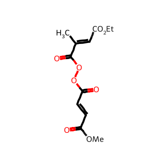 CCOC(=O)/C=C(\C)C(=O)OOC(=O)/C=C/C(=O)OC